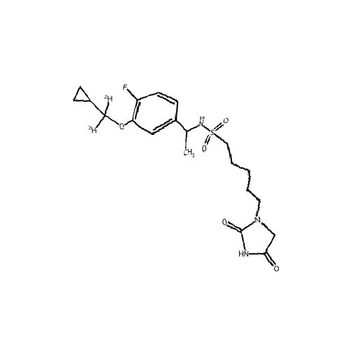 [2H]C([2H])(Oc1cc(C(C)NS(=O)(=O)CCCCCN2CC(=O)NC2=O)ccc1F)C1CC1